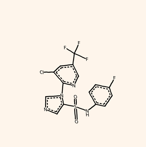 O=S(=O)(Nc1ccc(F)cc1)c1cncn1-c1ncc(C(F)(F)F)cc1Cl